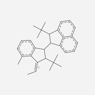 C/C=C1\c2c(C)cccc2C(C2c3cccc4cccc(c34)C2C(C)(C)C)C1C(C)(C)C